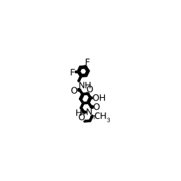 C[C@@H]1CCO[C@H]2CC3C=C(C(=O)NCc4ccc(F)cc4F)C(=O)C(O)=C3C(=O)N12